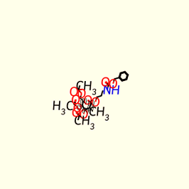 CC(=O)OC[C@H]1O[C@H](OCCCNC(=O)OCc2ccccc2)[C@@H](C)[C@@H](OC(C)=O)[C@@H]1OC(C)=O